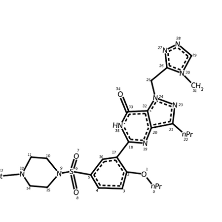 CCCOc1ccc(S(=O)(=O)N2CCN(CC)CC2)cc1-c1nc2c(CCC)nn(Cc3nncn3C)c2c(=O)[nH]1